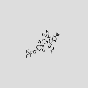 O=C(O)C1CC(S(=O)(=O)c2ccc(OCC(F)(F)F)cc2Cl)CN1C(=O)C1(c2ccc(Br)cn2)CN(CC(F)F)C1